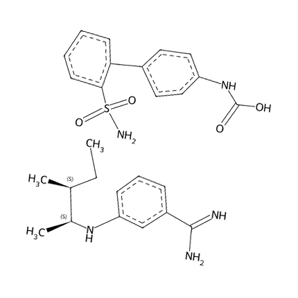 CC[C@H](C)[C@H](C)Nc1cccc(C(=N)N)c1.NS(=O)(=O)c1ccccc1-c1ccc(NC(=O)O)cc1